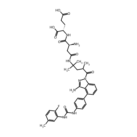 Cc1ccc(F)c(NC(=O)Nc2ccc(-c3cccc4c3c(N)nn4C(=O)C(C)CC(C)(C)NC(=O)C[C@H](N)C(=O)N[C@@H](CCC(=O)O)C(=O)O)cc2)c1